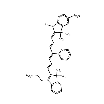 CCN1/C(=C/C=C/C(=C/C=C/C2=[N+](CCS(=O)(=O)O)c3ccccc3C2(C)C)c2ccccc2)C(C)(C)c2cc(S(=O)(=O)O)ccc21